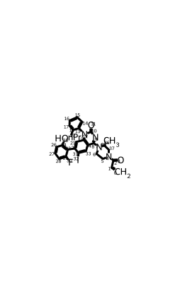 C=CC(=O)N1CCN(c2nc(=O)n(-c3ccccc3CCC)c3cc(-c4c(O)cccc4F)c(I)cc23)[C@@H](C)C1